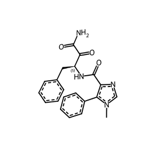 Cn1cnc(C(=O)N[C@@H](Cc2ccccc2)C(=O)C(N)=O)c1-c1ccccc1